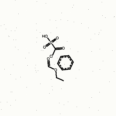 CCOC=O.O=C(Cl)S(=O)(=O)O.c1ccccc1